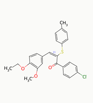 CCOc1ccc(/C=C(/Sc2ccc(C)cc2)C(=O)c2ccc(Cl)cc2)cc1OC